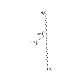 CCCCCCCCCCCCCCCCCC(CCCCCCCCCCCC)C(CSCCC(=O)O)C(=O)O